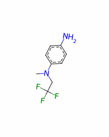 CN(CC(F)(F)F)c1ccc(N)cc1